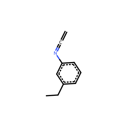 C=C=Nc1cccc(CC)c1